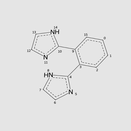 c1ccc(-c2ncc[nH]2)c(-c2ncc[nH]2)c1